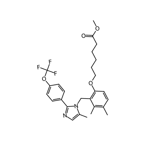 COC(=O)CCCCCOc1ccc(C)c(C)c1Cn1c(C)cnc1-c1ccc(OC(F)(F)F)cc1